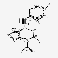 C=C(C)N1c2ccsc2C(Nc2ccc(C)cc2)CC1C